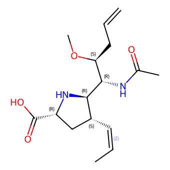 C=CC[C@H](OC)[C@H](NC(C)=O)[C@@H]1N[C@@H](C(=O)O)C[C@H]1/C=C\C